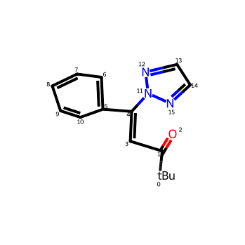 CC(C)(C)C(=O)C=C(c1ccccc1)n1nccn1